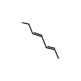 [CH]CC=CC=C[CH2]